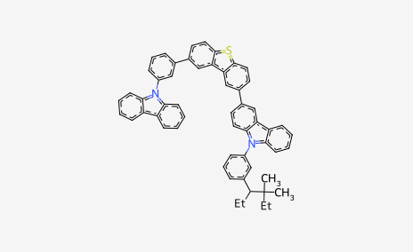 CCC(c1cccc(-n2c3ccccc3c3cc(-c4ccc5sc6ccc(-c7cccc(-n8c9ccccc9c9ccccc98)c7)cc6c5c4)ccc32)c1)C(C)(C)CC